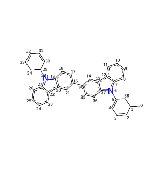 CC1C=CC=C(n2c3ccccc3c3cc(-c4ccc5c(c4)c4ccccc4n5C4C=CC=CC4)ccc32)C1